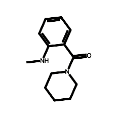 CNc1ccccc1C(=O)N1CCCCC1